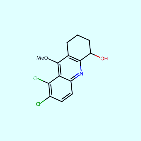 COc1c2c(nc3ccc(Cl)c(Cl)c13)C(O)CCC2